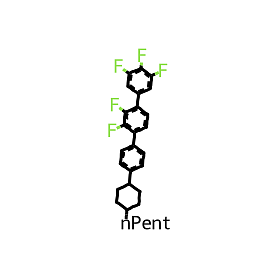 CCCCCC1CCC(c2ccc(-c3ccc(-c4cc(F)c(F)c(F)c4)c(F)c3F)cc2)CC1